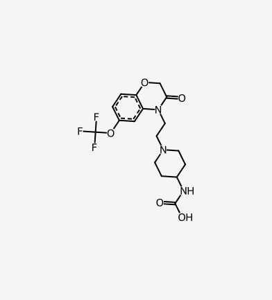 O=C(O)NC1CCN(CCN2C(=O)COc3ccc(OC(F)(F)F)cc32)CC1